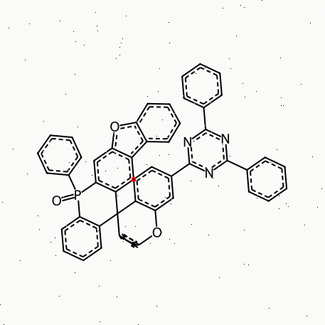 O=P1(c2ccccc2)c2ccccc2C2(c3ccccc3Oc3cc(-c4nc(-c5ccccc5)nc(-c5ccccc5)n4)ccc32)c2cc3c(cc21)oc1ccccc13